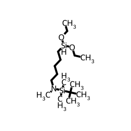 CCO[SiH](CCCCCN(C)[Si](C)(C)C(C)(C)C)OCC